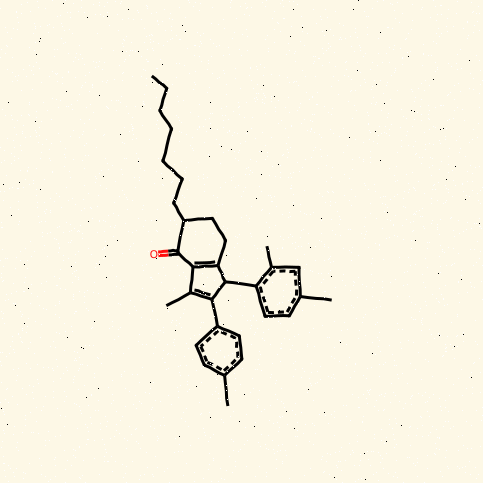 CCCCCCCC1CCC2=C(C1=O)C(C)=C(c1ccc(C)cc1)C2c1ccc(C)cc1C